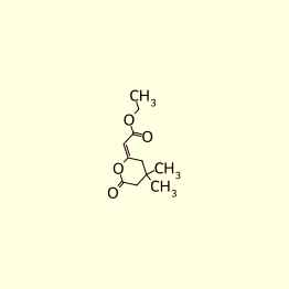 CCOC(=O)/C=C1\CC(C)(C)CC(=O)O1